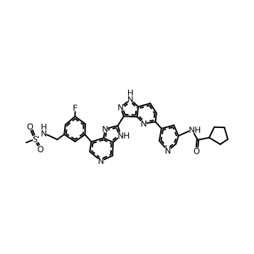 CS(=O)(=O)NCc1cc(F)cc(-c2cncc3[nH]c(-c4n[nH]c5ccc(-c6cncc(NC(=O)C7CCCC7)c6)nc45)nc23)c1